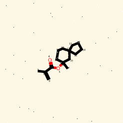 C=C(C)C(=O)OC1(C)CCCC2(CCCC2)C1